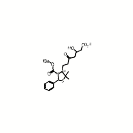 CC(C)(C)OC(=O)N1C(c2ccccc2)SC(C)(C)[C@@H]1CCC(=O)CC(O)CC(=O)O